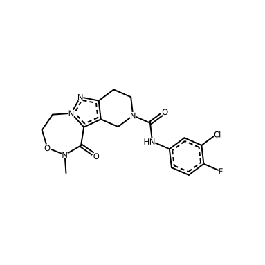 CN1OCCn2nc3c(c2C1=O)CN(C(=O)Nc1ccc(F)c(Cl)c1)CC3